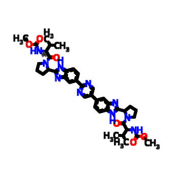 COC(=O)NC(C(=O)N1CCCC1c1nc2cc(-c3cnc(-c4ccc5[nH]c(C6CCCN6C(=O)[C@@H](NC(=O)OC)C(C)C)nc5c4)nc3)ccc2[nH]1)C(C)C